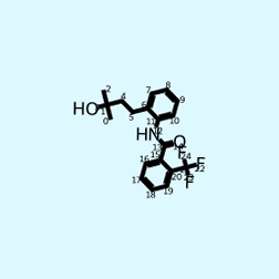 CC(C)(O)CCc1ccccc1NC(=O)c1ccccc1C(F)(F)F